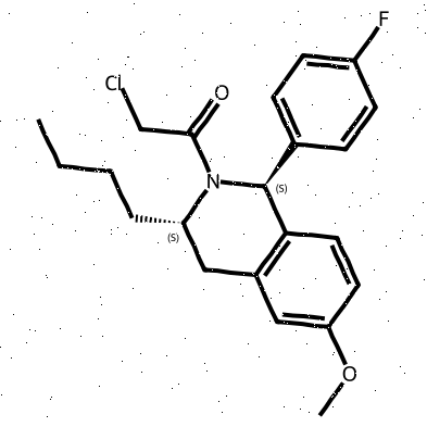 CCCC[C@H]1Cc2cc(OC)ccc2[C@H](c2ccc(F)cc2)N1C(=O)CCl